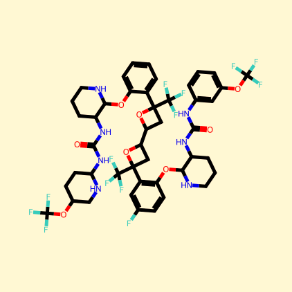 O=C(Nc1cccc(OC(F)(F)F)c1)NC1CCCNC1Oc1ccc(F)cc1C1(C(F)(F)F)CC(C2CC(c3ccccc3OC3NCCCC3NC(=O)NC3CCC(OC(F)(F)F)CN3)(C(F)(F)F)O2)O1